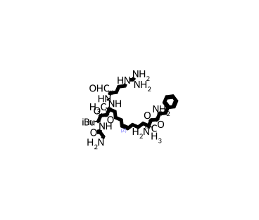 CC[C@H](C)C(NC(=O)CN)C(=O)C(=O)[C@](C)(CCC/C=C\CCC[C@](C)(N)C(=O)C(=O)[C@@H](N)Cc1ccccc1)NN[C@H](C=O)CCCNC(N)N